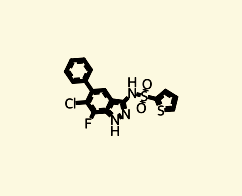 O=S(=O)(Nc1n[nH]c2c(F)c(Cl)c(-c3ccccc3)cc12)c1cccs1